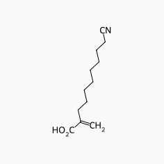 C=C(CCCCCCCCC#N)C(=O)O